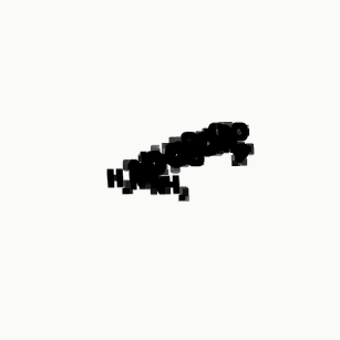 C=C(N)c1ccc(-c2ccc(S(=O)(=O)N3CCC4(CC3)CN(C3CC3)C(=O)CO4)cc2)cc1NN